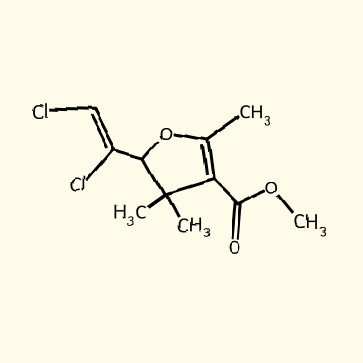 COC(=O)C1=C(C)OC(/C(Cl)=C/Cl)C1(C)C